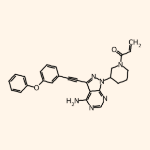 C=CC(=O)N1CCCC(n2nc(C#Cc3cccc(Oc4ccccc4)c3)c3c(N)ncnc32)C1